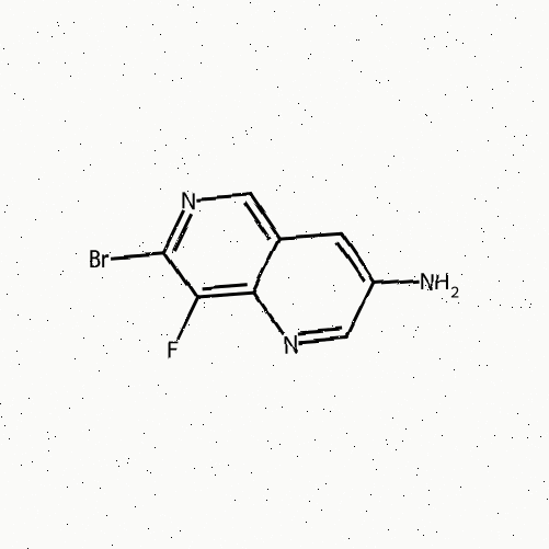 Nc1cnc2c(F)c(Br)ncc2c1